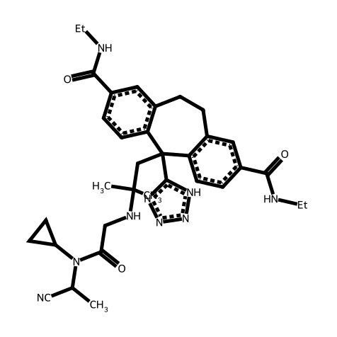 CCNC(=O)c1ccc2c(c1)CCc1cc(C(=O)NCC)ccc1C2(CC(C)(C)NCC(=O)N(C(C)C#N)C1CC1)c1nnn[nH]1